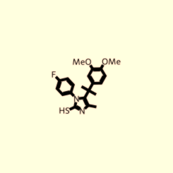 COc1ccc(C(C)(C)c2c(C)nc(S)n2-c2ccc(F)cc2)cc1OC